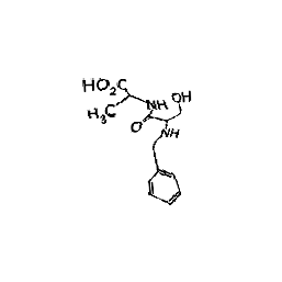 CC(NC(=O)C(CO)NCc1ccccc1)C(=O)O